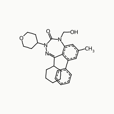 Cc1cc(-c2ccccc2)c2c(c1)N(CO)C(=O)N(C1CCOCC1)N=C2C1CCCCC1